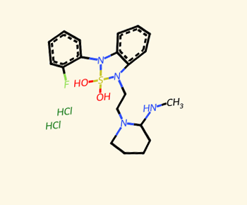 CNC1CCCCN1CCN1c2ccccc2N(c2ccccc2F)S1(O)O.Cl.Cl